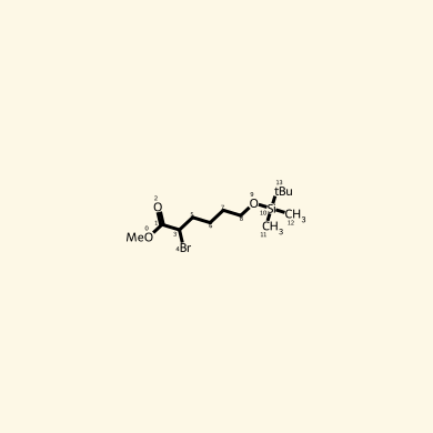 COC(=O)C(Br)CCCCO[Si](C)(C)C(C)(C)C